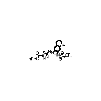 CCCOC(=O)c1nnc(N=Nc2cc3c(cc2NS(=O)(=O)CC(F)(F)F)N(C)CCC3)s1